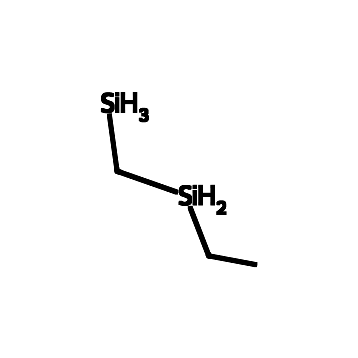 CC[SiH2]C[SiH3]